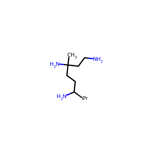 CC(C)C(N)CCC(C)(N)CCN